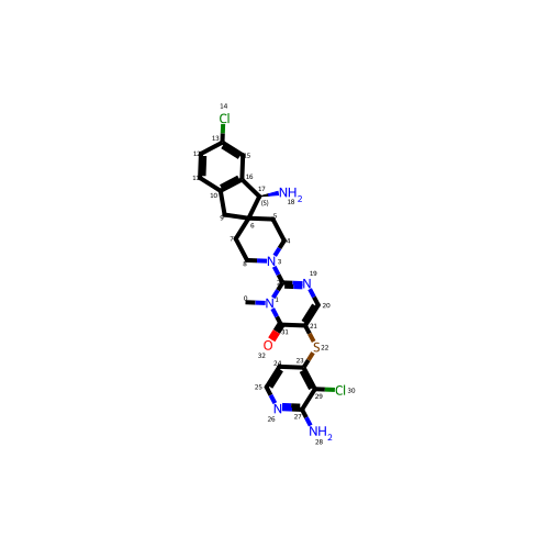 Cn1c(N2CCC3(CC2)Cc2ccc(Cl)cc2[C@H]3N)ncc(Sc2ccnc(N)c2Cl)c1=O